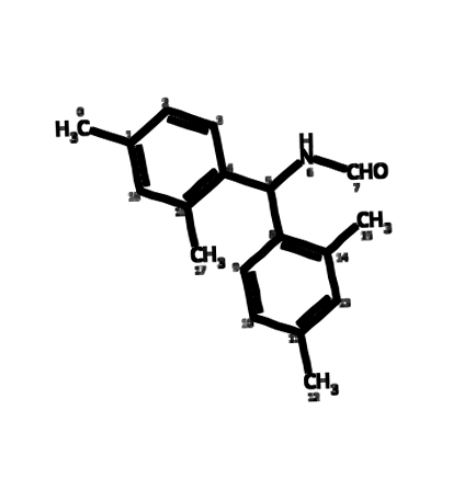 Cc1ccc(C(NC=O)c2ccc(C)cc2C)c(C)c1